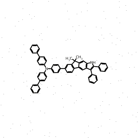 CC1(C)c2cc(-c3ccc(N(c4ccc(-c5ccccc5)cc4)c4ccc(-c5ccccc5)cc4)cc3)ccc2-c2cc3c(-c4ccccc4)c(-c4ccccc4)[nH]c3cc21